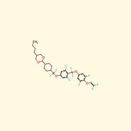 CCCCC1COC(C2CCC(C(F)(F)Oc3cc(F)c(C(F)(F)Oc4cc(F)c(OC=C(F)F)c(F)c4)c(F)c3)CC2)OC1